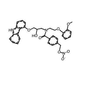 COc1ccccc1OCCN(CC(O)COc1cccc2[nH]c3ccccc3c12)C(=O)c1ccc(CO[N+](=O)[O-])cc1